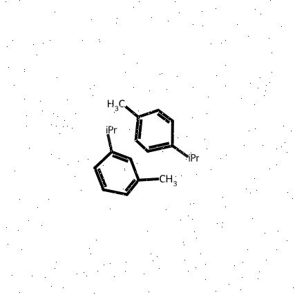 Cc1ccc(C(C)C)cc1.Cc1cccc(C(C)C)c1